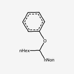 CCCCCCCCCC(CCCCCC)Oc1ccccc1